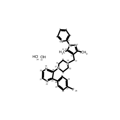 Cc1nn(-c2ccccn2)c(C)c1CN1CCN(c2nccnc2-c2ccc(F)cc2)CC1.Cl.Cl